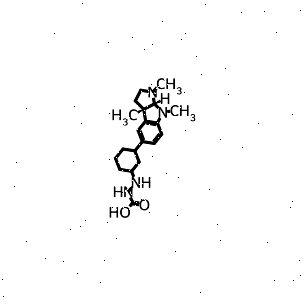 CN1CC[C@@]2(C)c3cc(C4CCCC(NNC(=O)O)C4)ccc3N(C)[C@@H]12